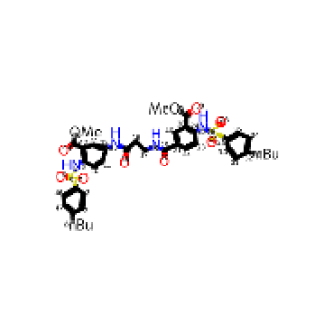 CCCCc1ccc(S(=O)(=O)Nc2ccc(NC(=O)CCNC(=O)c3ccc(NS(=O)(=O)c4ccc(CCCC)cc4)c(C(=O)OC)c3)cc2C(=O)OC)cc1